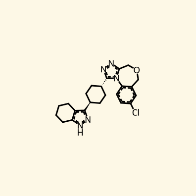 Clc1ccc2c(c1)COCc1nnc([C@H]3CC[C@H](c4n[nH]c5c4CCCC5)CC3)n1-2